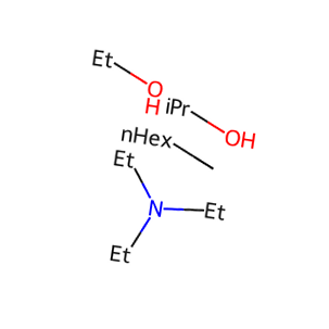 CC(C)O.CCCCCCC.CCN(CC)CC.CCO